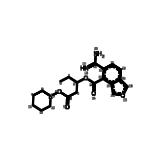 CCC(CC(=O)ON1CCCCC1)OC(=O)c1c(C(=N)N)ccc2cocc12